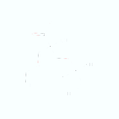 CCOCC(C)(COC(C)(C)CC)C(=O)O